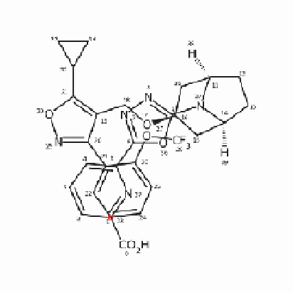 O=C(O)c1cccc(-c2nnc(N3[C@@H]4CC[C@H]3C[C@@H](OCc3c(-c5ccccc5OC(F)(F)F)noc3C3CC3)C4)o2)n1